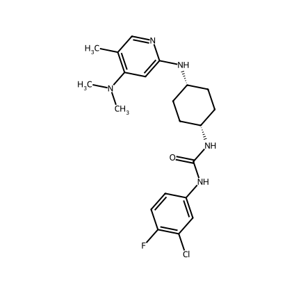 Cc1cnc(N[C@H]2CC[C@@H](NC(=O)Nc3ccc(F)c(Cl)c3)CC2)cc1N(C)C